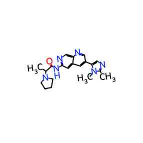 Cc1ncc(-c2cnc3cnc(NC(=O)C(C)N4CCCC4)cc3c2)n1C